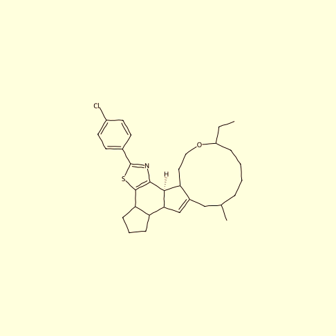 CCC1CCCCC(C)CC2=CC3C4CCCC4c4sc(-c5ccc(Cl)cc5)nc4[C@H]3C2CCO1